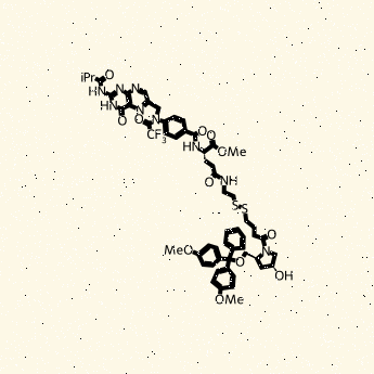 COC(=O)[C@H](CCC(=O)NCCSSCCCC(=O)N1C[C@H](O)C[C@H]1COC(c1ccccc1)(c1ccc(OC)cc1)c1ccc(OC)cc1)NC(=O)c1ccc(N(Cc2cnc3nc(NC(=O)C(C)C)[nH]c(=O)c3n2)C(=O)C(F)(F)F)cc1